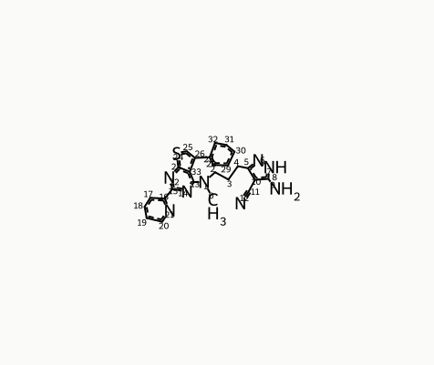 CN(CCCc1n[nH]c(N)c1C#N)c1nc(-c2ccccn2)nc2scc(-c3ccccc3)c12